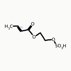 C/C=C/C(=O)OCCOS(=O)(=O)O